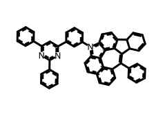 C1=CC2C3=C(c4ccccc4)c4cccc5ccc6c(c45)c4c3c(ccc4n6-c3cccc(-c4cc(-c5ccccc5)nc(-c5ccccc5)n4)c3)C2C=C1